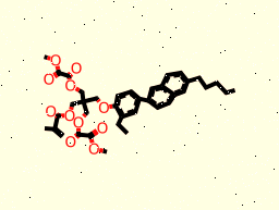 C=C(C)C(=O)OCC(COC(=O)C(=O)OC)(COC(=O)C(=O)OC)COc1ccc(-c2ccc3cc(CCCCC)ccc3c2)cc1CC